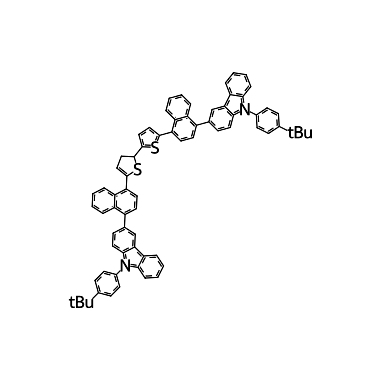 CC(C)(C)c1ccc(-n2c3ccccc3c3cc(-c4ccc(C5=CCC(c6ccc(-c7ccc(-c8ccc9c(c8)c8ccccc8n9-c8ccc(C(C)(C)C)cc8)c8ccccc78)s6)S5)c5ccccc45)ccc32)cc1